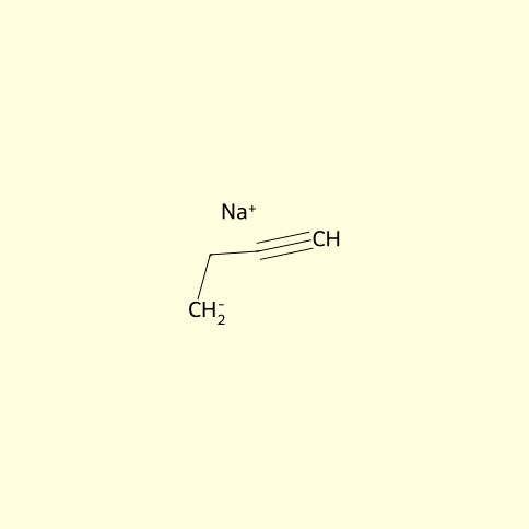 C#CC[CH2-].[Na+]